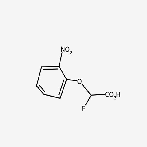 O=C(O)C(F)Oc1ccccc1[N+](=O)[O-]